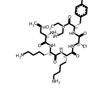 C=CC[C@H](N)C(=O)N[C@@H](CCCCN)C(=O)N[C@@H](CCCCN)C(=O)N[C@@H](CC)C(=O)N[C@@H](Cc1ccc(O)cc1)C(=O)N(CC(=O)O)CC(C)C